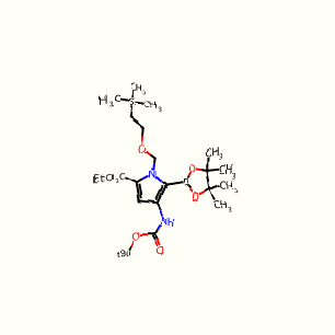 CCOC(=O)c1cc(NC(=O)OC(C)(C)C)c(B2OC(C)(C)C(C)(C)O2)n1COCC[Si](C)(C)C